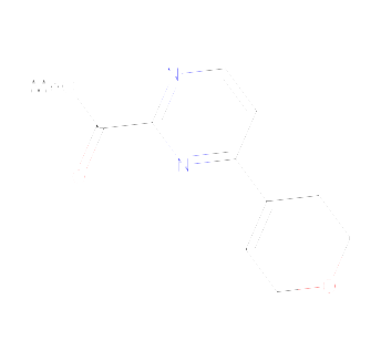 COC(=O)c1nccc(C2=CCOCC2)n1